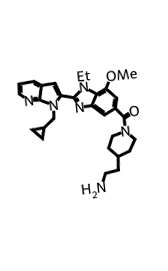 CCn1c(-c2cc3cccnc3n2CC2CC2)nc2cc(C(=O)N3CCC(CCN)CC3)cc(OC)c21